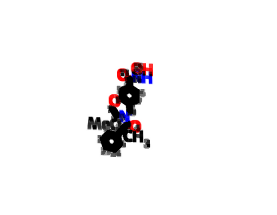 COC(C)(C(=O)N1CCOc2cc(C(=O)NO)ccc2C1)c1ccccc1